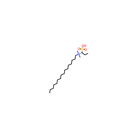 CCCCCCCCCCCCCCCC[N+](C)(C)C(CC)S(=O)(=O)O